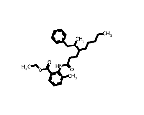 CCCCCC(CCC(=O)Nc1c(C)cccc1C(=O)OCC)C(C)Cc1ccccc1